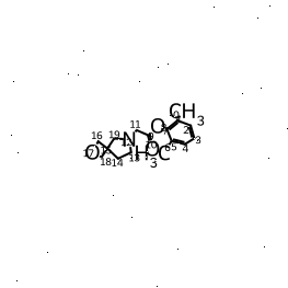 Cc1cccc(C)c1OC(=O)CN1CCC2(COC2)C1